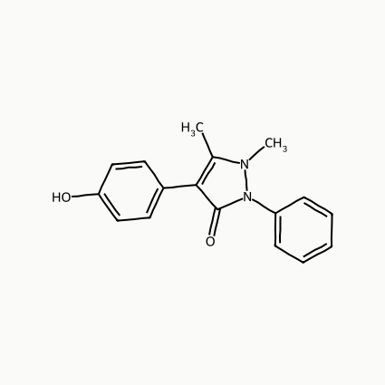 Cc1c(-c2ccc(O)cc2)c(=O)n(-c2ccccc2)n1C